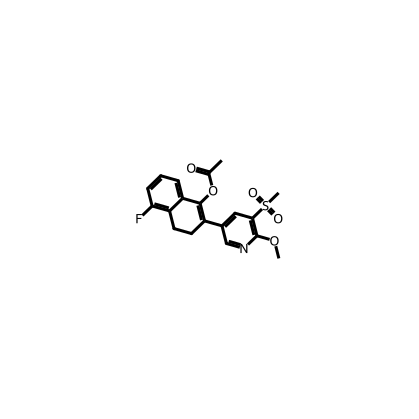 COc1ncc(C2=C(OC(C)=O)c3cccc(F)c3CC2)cc1S(C)(=O)=O